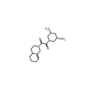 CC1CC(C)CN(C(=O)C(=O)N2CCC3CCCC=C3C2)C1